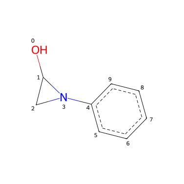 OC1CN1c1ccccc1